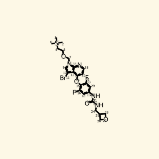 C[Si](C)(C)CCOCn1cc(Br)c2c(Oc3c(F)cc(NC(=O)NCC4COC4)cc3F)ccnc21